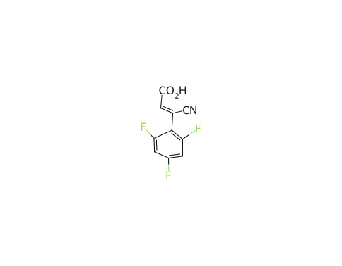 N#CC(=CC(=O)O)c1c(F)cc(F)cc1F